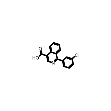 O=C(O)c1cnc(-c2cccc(Cl)c2)c2ccccc12